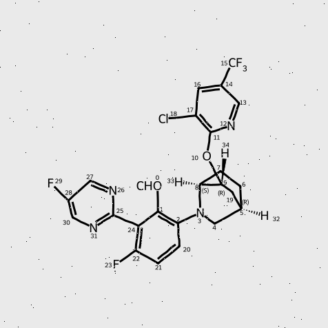 O=Cc1c(N2C[C@@H]3CC[C@H]2[C@H](Oc2ncc(C(F)(F)F)cc2Cl)C3)ccc(F)c1-c1ncc(F)cn1